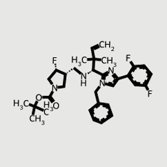 C=CC(C)(C)[C@@H](NC[C@@H]1CN(C(=O)OC(C)(C)C)C[C@@H]1F)c1nc(-c2cc(F)ccc2F)cn1Cc1ccccc1